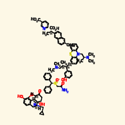 CC(CN1c2ccccc2Sc2ccccc21)N(C)C.CC[C@@H](c1cccc(O)c1)[C@@H](C)CN(C)C.COc1ccc2cc([C@H](C)C(=O)O)ccc2c1.NC(=O)C[S+]([O-])C(c1ccccc1)c1ccccc1.O=C(O)c1cccnc1.O=C1CC[C@@]2(O)[C@H]3Cc4ccc(O)c5c4[C@@]2(CCN3CC2CC2)[C@H]1O5